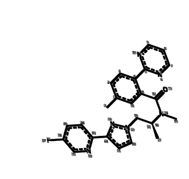 Cc1ccc(-c2ncccn2)c(C(=O)N(C)[C@@H](C)Cn2ccc(-c3ccc(F)cn3)n2)c1